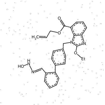 C=CCOC(=O)c1cccc2nc(OCC)n(Cc3ccc(-c4ccccc4C=NNO)cc3)c12